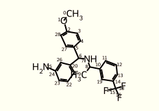 COc1ccc(C(NC(C)c2cccc(C(F)(F)F)c2)c2cccc(N)c2)cc1